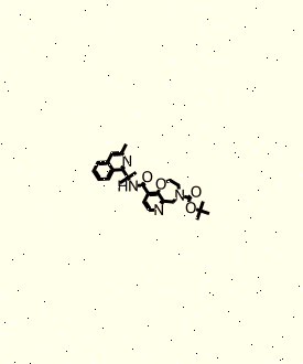 Cc1cc2ccccc2c(C(C)(C)NC(=O)c2ccnc3c2OCCN(C(=O)OC(C)(C)C)C3)n1